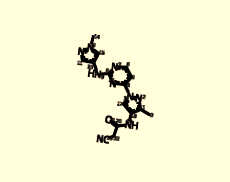 Cc1nn(-c2ccnc(Nc3cnn(C)c3)n2)cc1NC(=O)CC#N